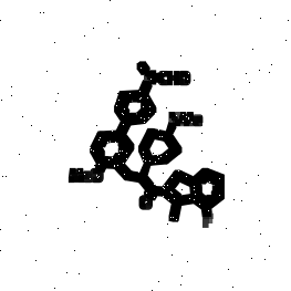 CN[C@H]1CC[C@@H](C(Cc2cc(-c3ccc(N(C)C=O)cc3)ccc2OC)C(=O)C2=C(C)c3c(F)cccc3C2)CC1